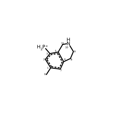 Cc1cc(P)c2c(c1)CCNC2